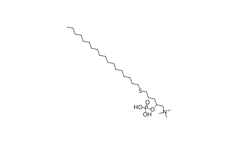 CCCCCCCCCCCCCCCCCCSCCCC(C[N+](C)(C)C)OP(=O)(O)O